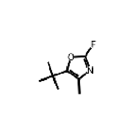 Cc1nc(F)oc1C(C)(C)C